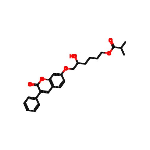 CC(C)C(=O)OCCCCC(O)COc1ccc2cc(-c3ccccc3)c(=O)oc2c1